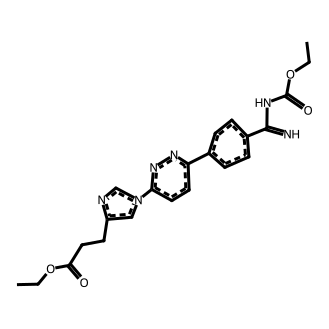 CCOC(=O)CCc1cn(-c2ccc(-c3ccc(C(=N)NC(=O)OCC)cc3)nn2)cn1